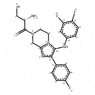 CC(C)C[C@H](N)C(=O)N1CCn2c(nc(-c3ccc(F)cc3)c2Nc2ccc(F)c(F)c2)C1